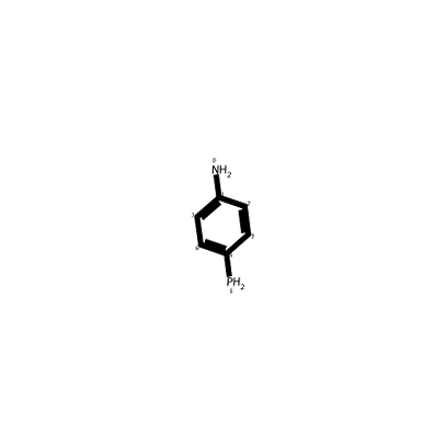 Nc1ccc(P)cc1